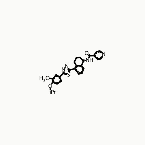 Cc1cc(-c2nnc(-c3cccc4c3CCC[C@H]4NC(=O)c3ccncc3)s2)ccc1OC(C)C